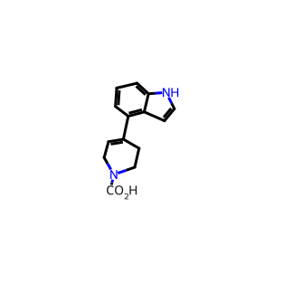 O=C(O)N1CC=C(c2cccc3[nH]ccc23)CC1